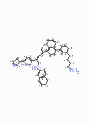 C/C(=C\C=C(/CNc1ccc2c(c1)C=CCC2)C1=CC=C(C2C=NCC2)NC1)C1=C2CCC=CC2=C(C2=CC(CCCCN)CC=C2)CC1